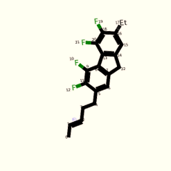 C/C=C/CCc1cc2c(c(F)c1F)-c1c(cc(CC)c(F)c1F)C2